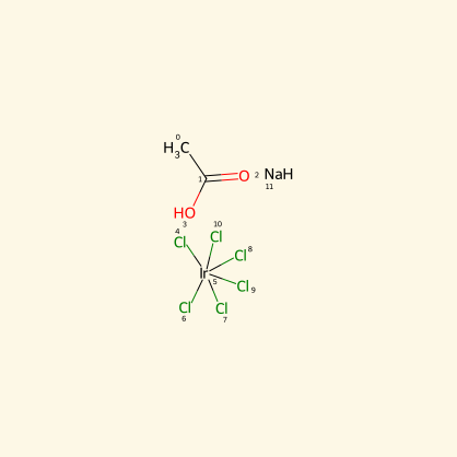 CC(=O)O.[Cl][Ir]([Cl])([Cl])([Cl])([Cl])[Cl].[NaH]